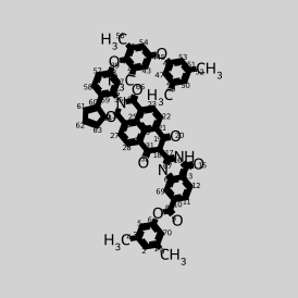 Cc1cc(C)cc(OC(=O)c2ccc3c(=O)[nH]c(C4C(=O)c5ccc6c7c(ccc(c57)C4=O)C(=O)N(c4cc(Oc5c(C)cc(Oc7cc(C)cc(C)c7)cc5C)ccc4C4=CC=CC4)C6=O)nc3c2)c1